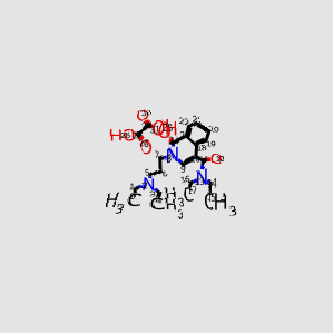 CCN(CC)CCCn1cc(C(=O)N(CC)CC)c2ccccc2c1=O.O=C(O)C(=O)O